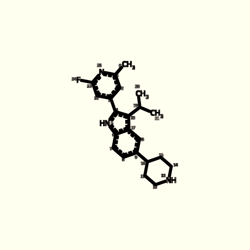 Cc1cc(-c2[nH]c3ccc(C4CCNCC4)cc3c2C(C)C)cc(F)n1